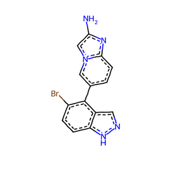 Nc1cn2cc(-c3c(Br)ccc4[nH]ncc34)ccc2n1